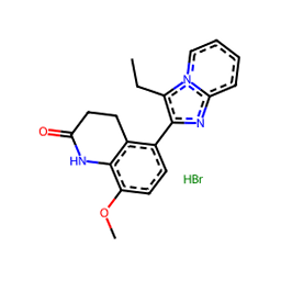 Br.CCc1c(-c2ccc(OC)c3c2CCC(=O)N3)nc2ccccn12